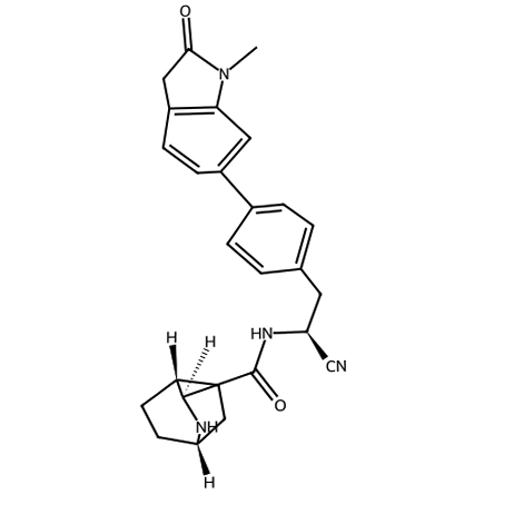 CN1C(=O)Cc2ccc(-c3ccc(C[C@@H](C#N)NC(=O)[C@H]4N[C@H]5CC[C@@H]4CC5)cc3)cc21